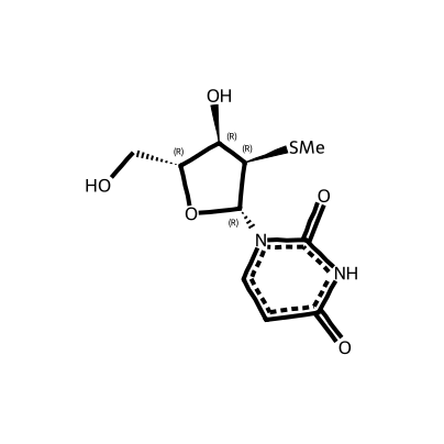 CS[C@@H]1[C@H](O)[C@@H](CO)O[C@H]1n1ccc(=O)[nH]c1=O